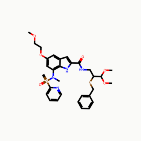 C=S(=O)(c1ccccn1)N(C)c1cc(OCCOC)cc2cc(C(=O)NCC(SCc3ccccc3)C(OC)OC)[nH]c12